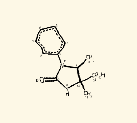 CC1N(c2ccccc2)C(=O)NC1(C)C(=O)O